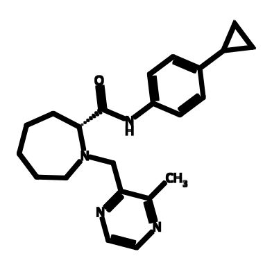 Cc1nccnc1CN1CCCCC[C@@H]1C(=O)Nc1ccc(C2CC2)cc1